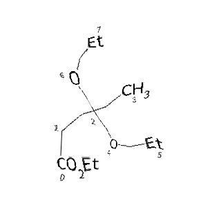 CCOC(=O)CC(C)(OCC)OCC